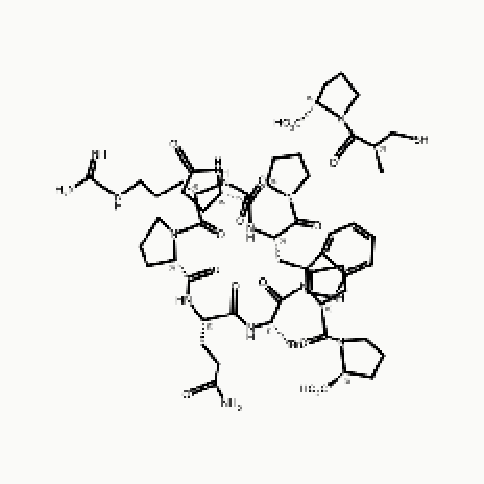 CCC(C)[C@H](NC(=O)[C@H](CCC(N)=O)NC(=O)[C@@H]1CCCN1C(=O)[C@H](CCCNC(=N)N)NC(=O)[C@@H]1CCCN1C(=O)[C@H](Cc1c[nH]c2ccccc12)NC(=O)[C@@H]1CCC(=O)N1)C(=O)N1CCC[C@H]1C(=O)N1CCC[C@H]1C(=O)O.C[C@H](CS)C(=O)N1CCC[C@H]1C(=O)O